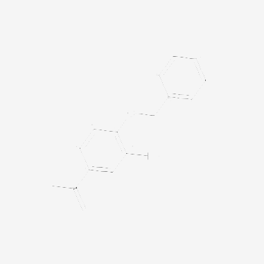 C=C(C)c1ccc(OCc2ccccc2)c(F)c1